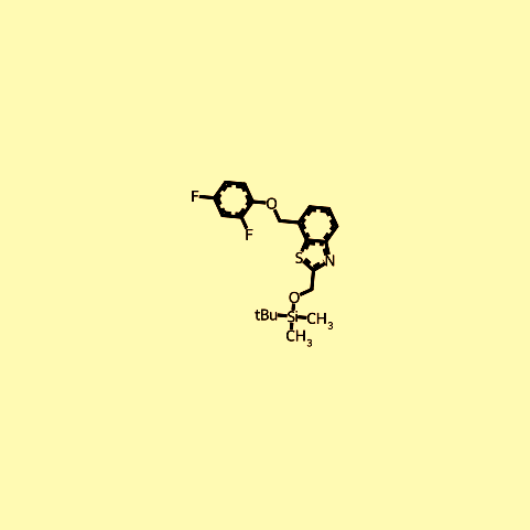 CC(C)(C)[Si](C)(C)OCc1nc2cccc(COc3ccc(F)cc3F)c2s1